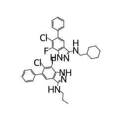 CCCNc1n[nH]c2c(F)c(Cl)c(-c3ccccc3)cc12.Fc1c(Cl)c(-c2ccccc2)cc2c(NCC3CCCCC3)n[nH]c12